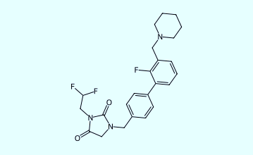 O=C1CN(Cc2ccc(-c3cccc(CN4CCCCC4)c3F)cc2)C(=O)N1CC(F)F